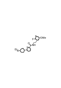 CCOc1ccc(-c2cccc(C(=O)NCCc3cc(OC)cnc3F)n2)cc1